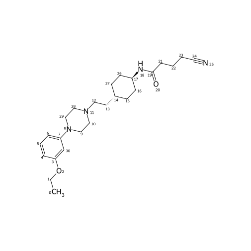 CCOc1cccc(N2CCN(CC[C@H]3CC[C@H](NC(=O)CCCC#N)CC3)CC2)c1